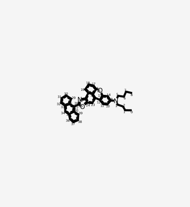 CCCCN(CCCC)c1ccc2c(c1)Oc1cccc3c1c-2cc1oc(-c2c4ccccc4cc4ccccc24)nc13